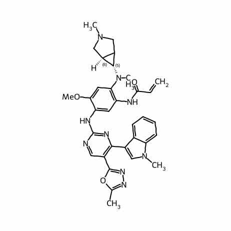 C=CC(=O)Nc1cc(Nc2ncc(-c3nnc(C)o3)c(-c3cn(C)c4ccccc34)n2)c(OC)cc1N(C)[C@H]1C2CN(C)C[C@@H]21